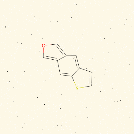 c1cc2cc3cocc3cc2s1